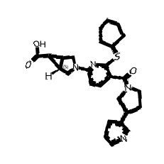 O=C(O)C1C2CN(c3ccc(C(=O)N4CCC(c5cccnc5)C4)c(SC4CCCCC4)n3)C[C@@H]21